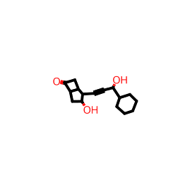 O=C1CC2C1CC(O)C2C#CC(O)C1CCCCC1